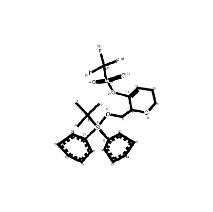 CC(C)(C)[Si](OCC1OCCC=C1OS(=O)(=O)C(F)(F)F)(c1ccccc1)c1ccccc1